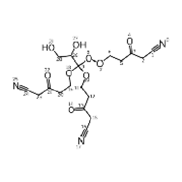 N#CCC(=O)CCOOC(OCCC(=O)CC#N)(OCCC(=O)CC#N)C(O)CO